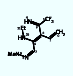 C=C/C(C(=N)C(F)(F)F)=C(\C=N/NC)NCC